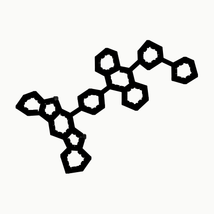 c1ccc(-c2cccc(-c3c4ccccc4c(-c4ccc(-c5c6oc7ccccc7c6cc6c5oc5ccccc56)cc4)c4ccccc34)c2)cc1